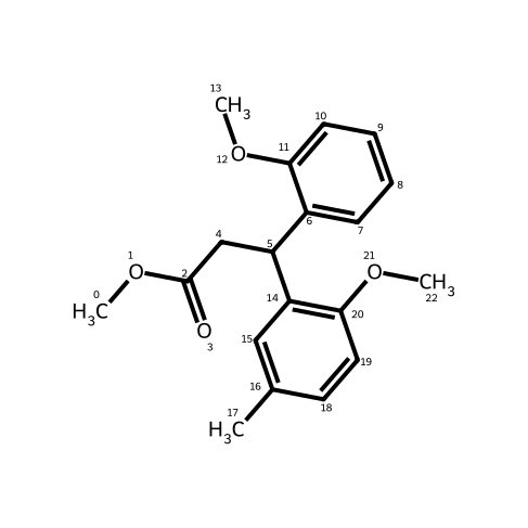 COC(=O)CC(c1ccccc1OC)c1cc(C)ccc1OC